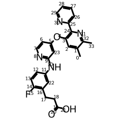 Cc1cc(Oc2ccnc(Nc3ccc(F)c(CCC(=O)O)c3)c2)c(-c2ccccn2)nc1C